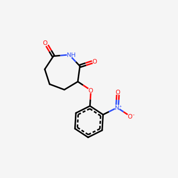 O=C1CCCC(Oc2ccccc2[N+](=O)[O-])C(=O)N1